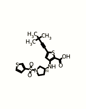 CC(C)(C)C#Cc1cc(N[C@H]2CCN(S(=O)(=O)c3ccsc3)C2)c(C(=O)O)s1